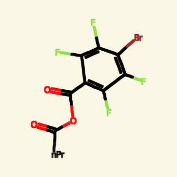 CCCC(=O)OC(=O)c1c(F)c(F)c(Br)c(F)c1F